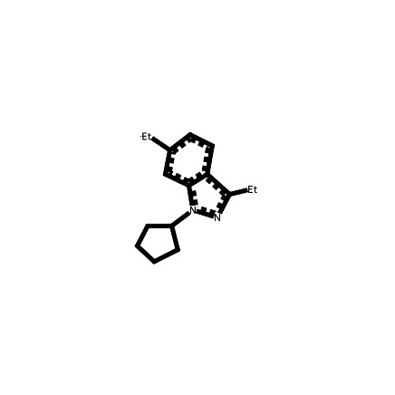 C[CH]c1ccc2c(CC)nn(C3CCCC3)c2c1